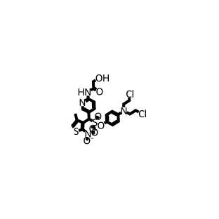 Cc1csc([N+](=O)[O-])c1C(c1ccc(NC(=O)CO)nc1)S(=O)(=O)Oc1ccc(N(CCCl)CCCl)cc1